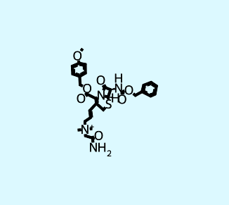 COc1ccc(COC(=O)C2=C(/C=C/C[N+](C)(C)CC(N)=O)CS[C@@H]3[C@H](NC(=O)OCc4ccccc4)C(=O)N23)cc1